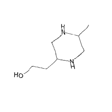 CC1CNC(CCO)CN1